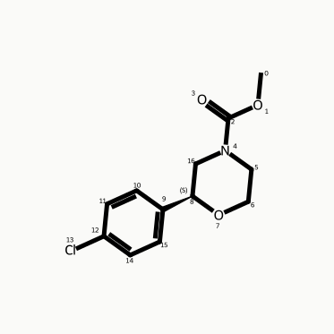 COC(=O)N1CCO[C@@H](c2ccc(Cl)cc2)C1